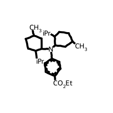 CCOC(=O)c1ccc(N(C2CC(C)CCC2C(C)C)C2CC(C)CCC2C(C)C)cc1